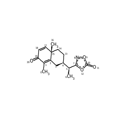 CC1=C2C[C@H]([C@H](C)c3noc(=O)o3)CC[C@@]2(C)C=CC1=O